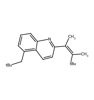 C/C(=C(\C)C(C)(C)C)c1ccc2c(CC(C)(C)C)cccc2n1